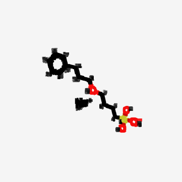 O=S(=O)([O-])CCCCOCCCc1ccccc1.[Na+]